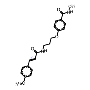 COc1ccc(/C=C/C(=O)NCCCOc2ccc(C(=O)NO)cc2)cc1